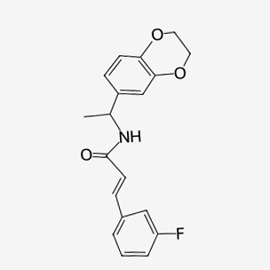 CC(NC(=O)C=Cc1cccc(F)c1)c1ccc2c(c1)OCCO2